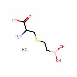 Cl.NC(CSCCB(O)O)C(=O)O